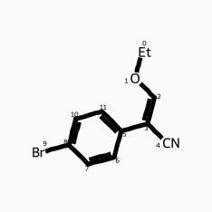 CCO/C=C(/C#N)c1ccc(Br)cc1